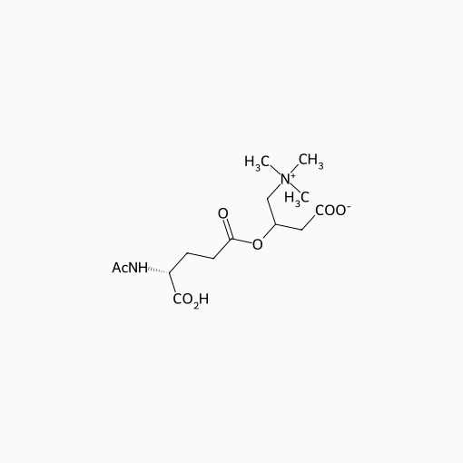 CC(=O)N[C@H](CCC(=O)OC(CC(=O)[O-])C[N+](C)(C)C)C(=O)O